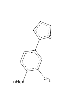 CCCCCCc1ccc(-c2cccs2)cc1C(F)(F)F